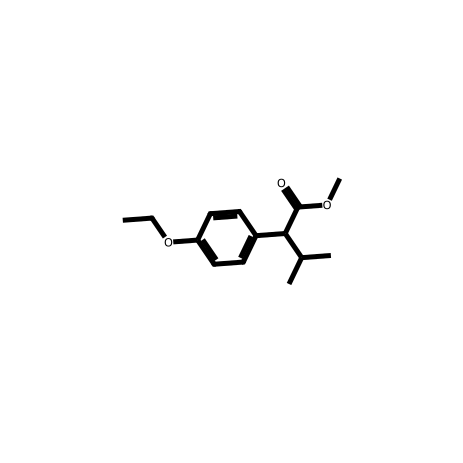 CCOc1ccc(C(C(=O)OC)C(C)C)cc1